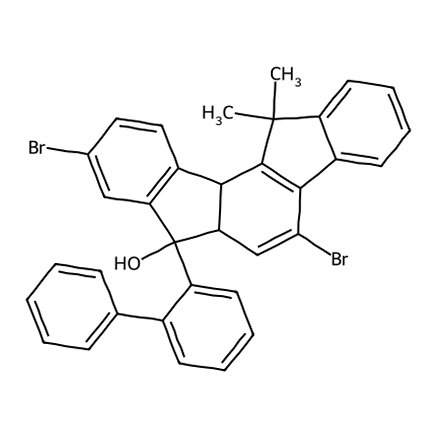 CC1(C)C2=C(C(Br)=CC3C2c2ccc(Br)cc2C3(O)c2ccccc2-c2ccccc2)c2ccccc21